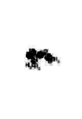 CC(C)COc1cccc2nccc(Nc3ccc(C(=O)N4CC[N+](C)([O-])CC4)cc3)c12